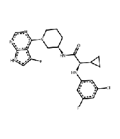 O=C(N[C@@H]1CCCN(c2ncnc3[nH]cc(F)c23)C1)[C@H](Nc1cc(F)cc(Cl)c1)C1CC1